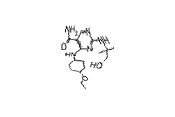 CCOC1CCC(Nc2nc(NC(C)(C)CO)ncc2C(N)=O)CC1